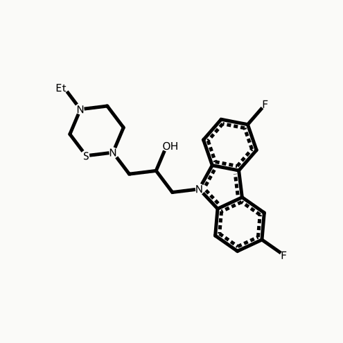 CCN1CCN(CC(O)Cn2c3ccc(F)cc3c3cc(F)ccc32)SC1